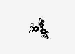 COc1cc(-n2nc(C(F)(F)F)cc2-c2ccc(S(C)(=O)=O)c(F)c2)ccc1Cl